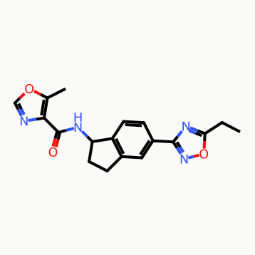 CCc1nc(-c2ccc3c(c2)CCC3NC(=O)c2ncoc2C)no1